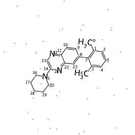 Cc1cccc(C)c1-c1ccc2ncc(N3CCCCC3)nc2c1